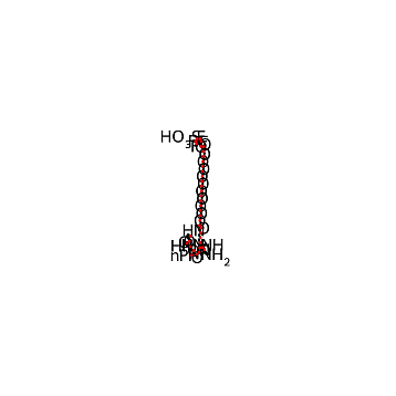 CCCN(OCCNC(=O)OC1CCC1)C(=O)C1=CC(NCCCCCNC(=O)CCOCCOCCOCCOCCOCCOCCOCCOCCOCCOCCC(=O)Oc2c(F)c(F)c(S(=O)(=O)O)c(F)c2F)=C(C=N)N=C(N)C1